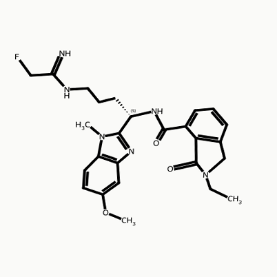 CCN1Cc2cccc(C(=O)N[C@@H](CCCNC(=N)CF)c3nc4cc(OC)ccc4n3C)c2C1=O